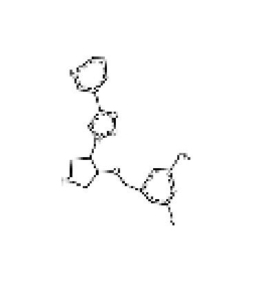 FC(F)(F)c1cc(Cl)cc(COC2CNCC2n2cc(-c3cccnc3)nn2)c1